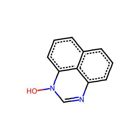 ON1C=Nc2cccc3cccc1c23